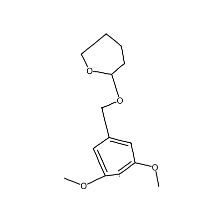 COc1[c]c(OC)cc(COC2CCCCO2)c1